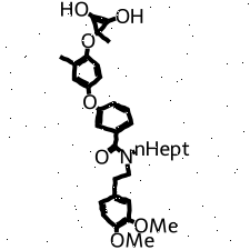 CCCCCCCN(CCc1ccc(OC)c(OC)c1)C(=O)c1cccc(Oc2ccc(OC3(C)C(O)=C3O)c(C)c2)c1